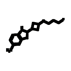 Nc1ccc2c(c1)SC(N1CC(OCCCF)C1)N2